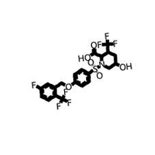 O=C(O)C1C(C(F)(F)F)CC(O)CN1S(=O)(=O)c1ccc(OCc2cc(F)ccc2C(F)(F)F)cc1